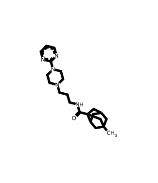 CC12CC3CC(C1)C(C(=O)NCCCN1CCN(c4ncccn4)CC1)(C3)C2